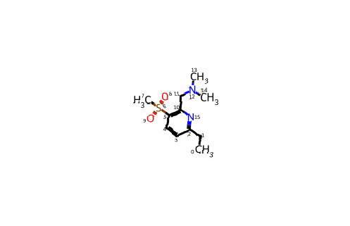 CCc1ccc(S(C)(=O)=O)c(CN(C)C)n1